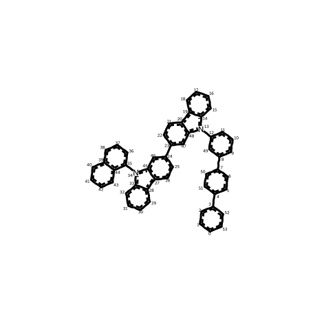 c1ccc(-c2ccc(-c3cccc(-n4c5ccccc5c5ccc(-c6ccc7c8ccccc8n(-c8cccc9ccccc89)c7c6)cc54)c3)cc2)cc1